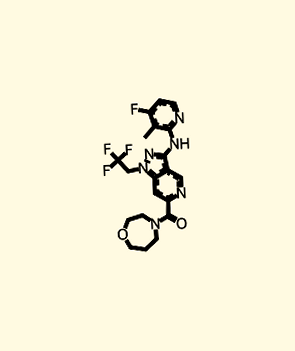 Cc1c(F)ccnc1Nc1nn(CC(F)(F)F)c2cc(C(=O)N3CCCOCC3)ncc12